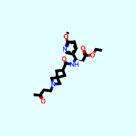 CCOC(=O)C[C@H](NC(=O)C1CC2(C1)CN(CCC(C)=O)C2)c1ccc(OC)nc1